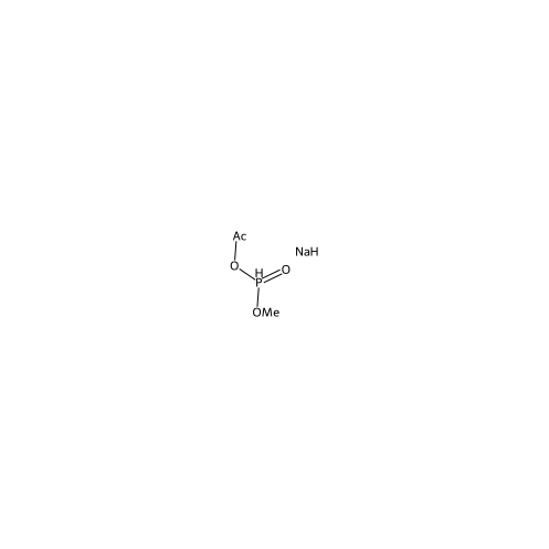 CO[PH](=O)OC(C)=O.[NaH]